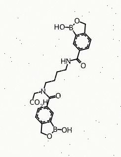 O=C(O)CN(CCCCNC(=O)c1ccc2c(c1)B(O)OC2)C(=O)c1ccc2c(c1)B(O)OC2